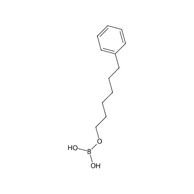 OB(O)OCCCCCCc1ccccc1